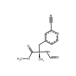 COC(=O)[C@](C)(Cc1ccnc(C#N)c1)NC=O